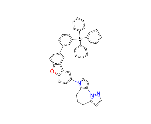 c1ccc([Si](c2ccccc2)(c2ccccc2)c2cccc(-c3ccc4oc5ccc(-n6ccc7c6CCCc6ccnn6-7)cc5c4c3)c2)cc1